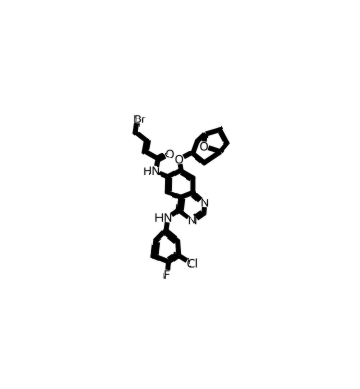 O=C(C=CCBr)Nc1cc2c(Nc3ccc(F)c(Cl)c3)ncnc2cc1OC1CC2CCC(C1)O2